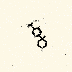 COC(=O)c1ccc(C2(C)CCNCC2)nc1